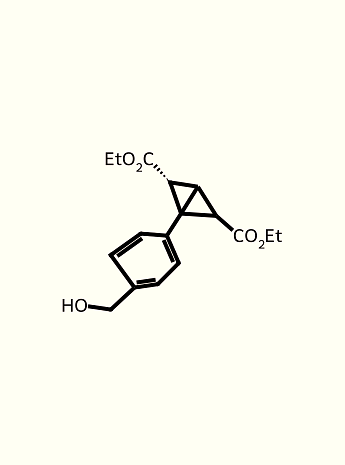 CCOC(=O)C1C2[C@@H](C(=O)OCC)C12c1ccc(CO)cc1